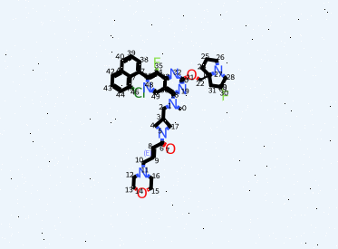 CN(CC1CN(C(=O)/C=C/CN2CCOCC2)C1)c1nc(OC[C@@]23CCCN2C[C@H](F)C3)nc2c(F)c(-c3cccc4cccc(Cl)c34)ncc12